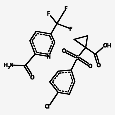 NC(=O)c1ccc(C(F)(F)F)cn1.O=C(O)C1(S(=O)(=O)c2ccc(Cl)cc2)CC1